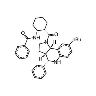 CCCCc1ccc2c(c1)[C@@H]1[C@@H](CCN1C(=O)[C@H]1CCCC[C@H]1NC(=O)c1ccccc1)[C@@H](c1ccccc1)N2